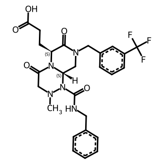 CN1CC(=O)N2[C@@H](CCC(=O)O)C(=O)N(Cc3cccc(C(F)(F)F)c3)C[C@@H]2N1C(=O)NCc1ccccc1